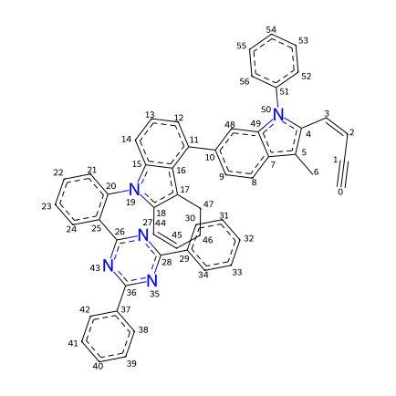 C#C/C=C\c1c(C)c2ccc(-c3cccc4c3c3c(n4-c4ccccc4-c4nc(-c5ccccc5)nc(-c5ccccc5)n4)C=CCC3)cc2n1-c1ccccc1